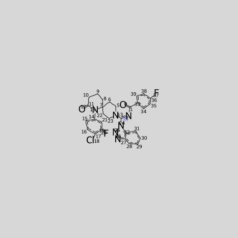 O=C(/N=C(\N1CCC2(CCCC(=O)N2c2ccc(Cl)c(F)c2)CC1)n1nnc2ccccc21)c1ccc(F)cc1